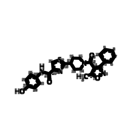 Cc1onc(-c2ccccc2)c1C(=O)N1CCC(c2nc(C(=O)Nc3ccc(O)cc3)cs2)CC1